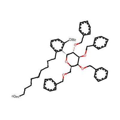 CCCCCCCCCCCCCCCCCCCc1cccc(OC)c1[C@H]1O[C@H](COCc2ccccc2)[C@H](OCc2ccccc2)[C@H](OCc2ccccc2)[C@H]1OCc1ccccc1